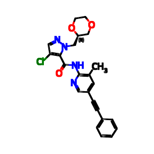 Cc1cc(C#Cc2ccccc2)cnc1NC(=O)c1c(Cl)cnn1C[C@@H]1COCCO1